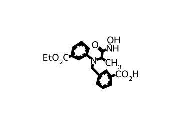 CCOC(=O)c1cccc(N(Cc2cccc(C(=O)O)c2)C(C)C(=O)NO)c1